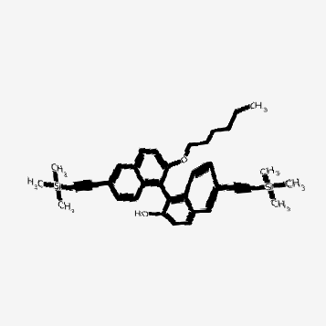 CCCCCCOc1ccc2cc(C#C[Si](C)(C)C)ccc2c1-c1c(O)ccc2cc(C#C[Si](C)(C)C)ccc12